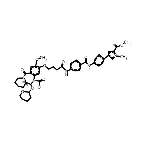 COC(=O)c1cc(-c2ccc(NC(=O)c3ccc(NC(=O)CCCOc4cc5c(cc4OC)C(=O)N4CCCC[C@H]4C(OC4CCCCO4)N5C(=O)O)cc3)cc2)cn1C